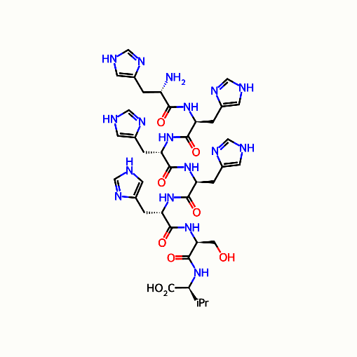 CC(C)[C@H](NC(=O)[C@H](CO)NC(=O)[C@H](Cc1c[nH]cn1)NC(=O)[C@H](Cc1c[nH]cn1)NC(=O)[C@H](Cc1c[nH]cn1)NC(=O)[C@H](Cc1c[nH]cn1)NC(=O)[C@@H](N)Cc1c[nH]cn1)C(=O)O